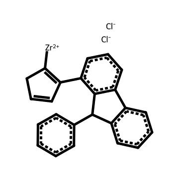 [Cl-].[Cl-].[Zr+2][C]1=C(c2cccc3c2C(c2ccccc2)c2ccccc2-3)C=CC1